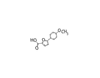 COc1ccc(-c2ccc(C(=O)O)o2)cc1